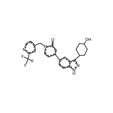 O=c1cc(-c2ccc3[nH]nc(C4CCC(O)CC4)c3c2)ccn1Cc1ccnc(C(F)(F)F)c1